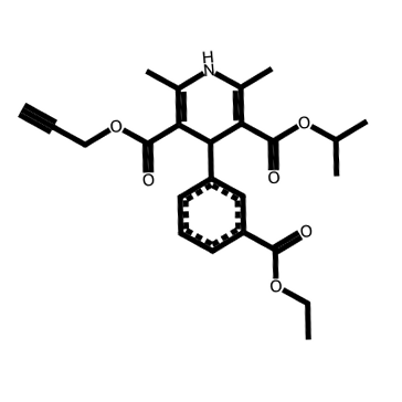 C#CCOC(=O)C1=C(C)NC(C)=C(C(=O)OC(C)C)C1c1cccc(C(=O)OCC)c1